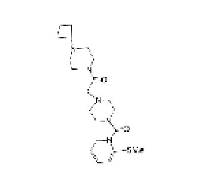 CSC1=CC=CCN1C(=O)N1CCN(CC(=O)N2CCN(C3CCC3)CC2)CC1